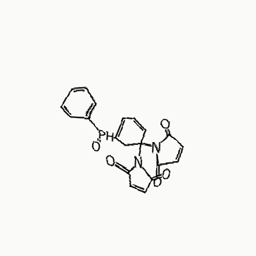 O=C1C=CC(=O)N1C1(N2C(=O)C=CC2=O)C=CC=C([PH](=O)c2ccccc2)C1